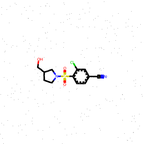 N#Cc1ccc(S(=O)(=O)N2CCC(CO)C2)c(Cl)c1